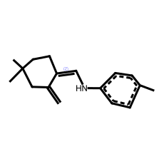 C=C1CC(C)(C)CC/C1=C/Nc1ccc(C)cc1